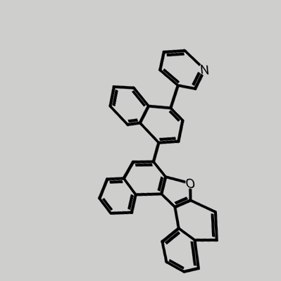 c1cncc(-c2ccc(-c3cc4ccccc4c4c3oc3ccc5ccccc5c34)c3ccccc23)c1